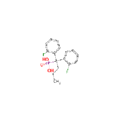 CCCC(c1ccccc1F)(c1ccccc1F)P(=O)(O)O